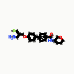 NC/C(=C\F)COc1ccc(C23CCC(C(=O)NC4CCCOC4)(CC2)CC3)cc1